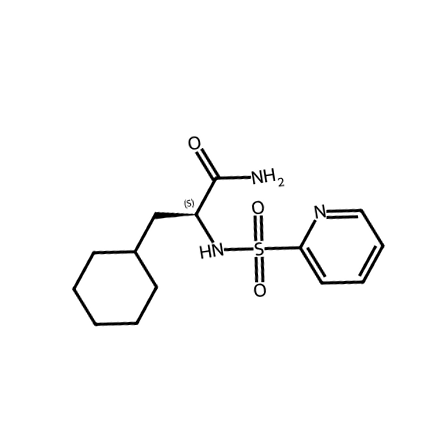 NC(=O)[C@H](CC1CCCCC1)NS(=O)(=O)c1ccccn1